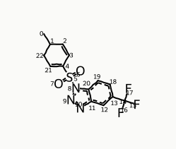 CC1C=CC(S(=O)(=O)n2nnc3cc(C(F)(F)F)ccc32)=CC1